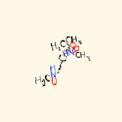 CC(=O)NCC#Cc1ccc(C[C@H](NC(C)=O)C(=O)C(C)C)cc1